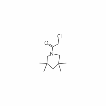 CC1(C)CN(C(=O)CCl)CC(C)(C)C1